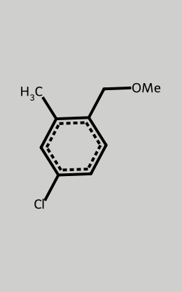 COCc1ccc(Cl)cc1C